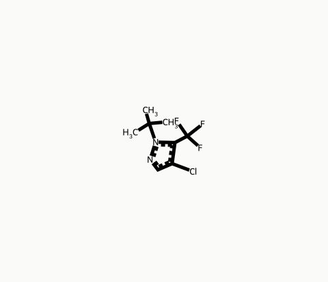 CC(C)(C)n1ncc(Cl)c1C(F)(F)F